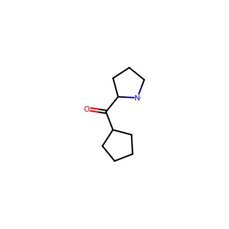 O=C(C1CCCC1)C1CCC[N]1